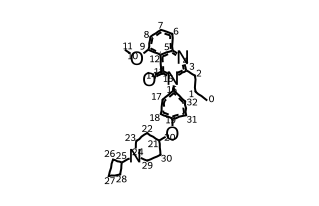 CCCc1nc2cccc(OC)c2c(=O)n1-c1ccc(OC2CCN(C3CCC3)CC2)cc1